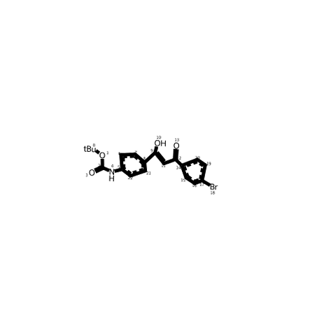 CC(C)(C)OC(=O)Nc1ccc(C(O)=CC(=O)c2ccc(Br)cc2)cc1